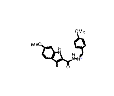 COc1ccc(/C=N\NC(=O)c2[nH]c3cc(OC)ccc3c2C)cc1